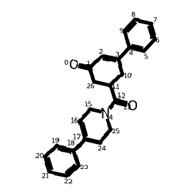 O=C1C=C(c2ccccc2)CC(C(=O)N2CC=C(c3ccccc3)CC2)C1